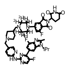 [2H]C1([2H])N(CC2CCN(Cc3ccc(Nc4ncc(F)c(-c5cc(F)c6nc(C)n(C(C)C)c6c5)n4)nc3)CC2)C([2H])([2H])C([2H])([2H])N(c2cc(F)c3c(c2)C(=O)N(C2CCC(=O)NC2=O)C3=O)C1([2H])[2H]